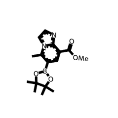 COC(=O)c1cc(B2OC(C)(C)C(C)(C)O2)c(C)n2ccnc12